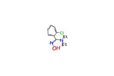 CCN(CC)C(=NO)c1ccccc1Cl